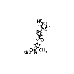 C[C@@H]1CC(NC(=O)c2nnc(-c3cccc(C#N)c3)o2)CN1C(=O)OC(C)(C)C